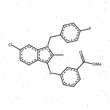 COC(=O)c1cccc(Sc2c(C)n(Cc3ccc(F)cc3)c3cc(Cl)ccc23)c1